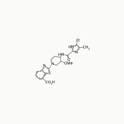 CCc1[nH]c(C(=O)NC2CCN(c3nc4cccc(C(=O)O)c4s3)CC2OC)nc1C